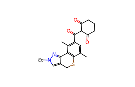 CCn1cc2c(n1)-c1c(C)c(C(=O)C3C(=O)CCCC3=O)cc(C)c1SC2